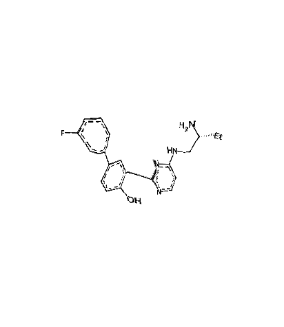 CC[C@@H](N)CNc1ccnc(-c2cc(-c3cccc(F)c3)ccc2O)n1